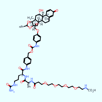 CCCC1O[C@@H]2C[C@H]3[C@@H]4CCC5=CC(=O)C=C[C@]5(C)[C@H]4[C@@H](O)C[C@]3(C)[C@]2(C(=O)COc2ccc(NC(=O)OCc3ccc(NC(=O)[C@H](CCCNC(N)=O)NC(=O)[C@@H](NC(=O)CCOCCOCCOCCOCCNC(=O)O)C(C)C)cc3)cc2)O1